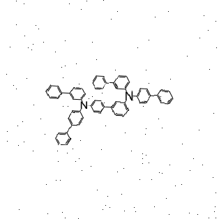 c1ccc(-c2ccc(N(c3ccc(-c4cccc(N(c5ccc(-c6ccccc6)cc5)c5cccc(-c6ccccc6)c5)c4)cc3)c3cccc(-c4ccccc4)c3)cc2)cc1